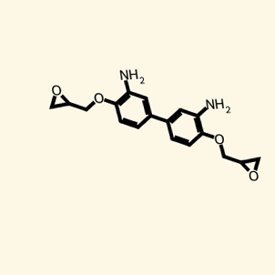 Nc1cc(-c2ccc(OCC3CO3)c(N)c2)ccc1OCC1CO1